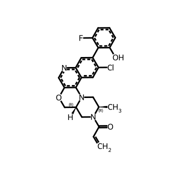 C=CC(=O)N1C[C@@H]2COc3cnc4cc(-c5c(O)cccc5F)c(Cl)cc4c3N2C[C@H]1C